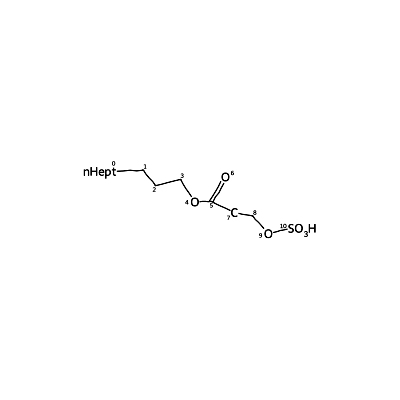 CCCCCCCCCCOC(=O)CCOS(=O)(=O)O